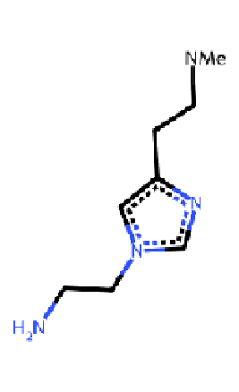 CNCCc1cn(CCN)cn1